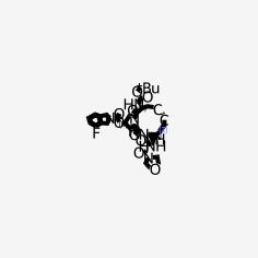 CC(C)(C)OC(=O)N[C@H]1CCCCC/C=C\[C@@H]2C[C@@]2(C(=O)NC(=O)N2CCOCC2)NC(=O)[C@@H]2C[C@@H](OC(=O)N3Cc4cccc(F)c4C3)CN2C1=O